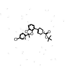 CC(C)(C)OC(=O)N1CC=C(c2cccc3c2OC(C)(c2ccc(Cl)cn2)O3)CC1